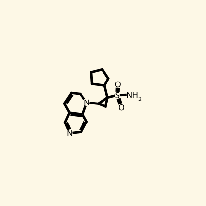 NS(=O)(=O)C1(C2CCCC2)CC1N1CC=Cc2cnccc21